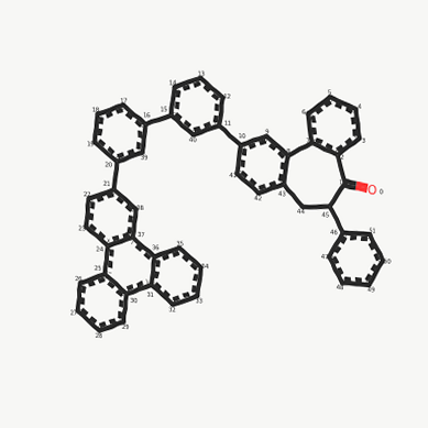 O=C1c2ccccc2-c2cc(-c3cccc(-c4cccc(-c5ccc6c7ccccc7c7ccccc7c6c5)c4)c3)ccc2CC1c1ccccc1